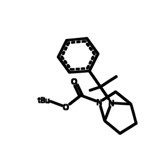 CC(C)(C)OC(=O)N1CC2CCC1N2C(C)(C)c1ccccc1